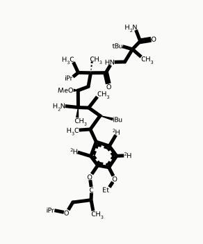 [2H]c1c([2H])c(C(C)[C@H](C(C)CC)C(C)[C@](C)(N)[C@H](C[C@](C)(C(=O)NCC(C)(C(N)=O)C(C)(C)C)C(C)C(C)C)OC)c([2H])c(OCC(C)COC(C)C)c1OCC